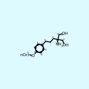 CCCCCCCCOc1ccc(CCCC(N)(CO)CO)cc1